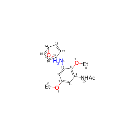 CCOc1cc(N)c(OCC)c(NC(C)=O)c1.c1cc2ccc1o2